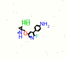 CNC1(COc2cnc(F)c(-c3ccc(N)cc3)c2)CC1.Cl.Cl